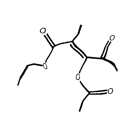 CCOC(=O)C(C)=C(OC(C)=O)C(C)=O